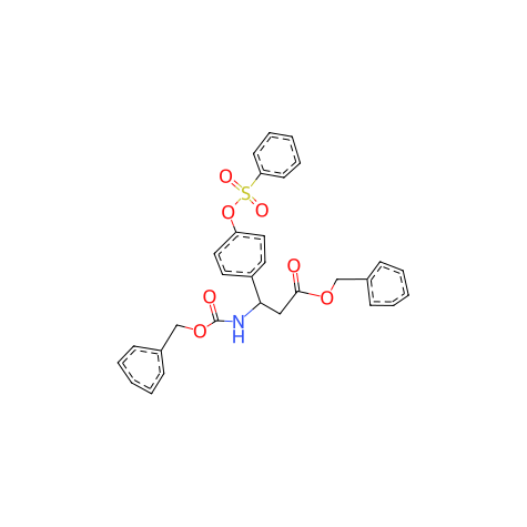 O=C(CC(NC(=O)OCc1ccccc1)c1ccc(OS(=O)(=O)c2ccccc2)cc1)OCc1ccccc1